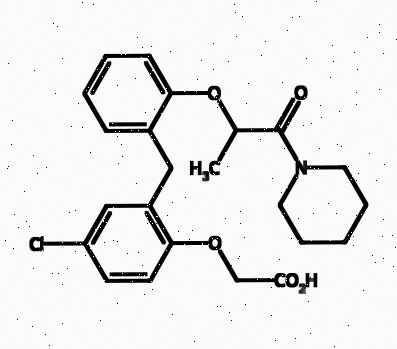 CC(Oc1ccccc1Cc1cc(Cl)ccc1OCC(=O)O)C(=O)N1CCCCC1